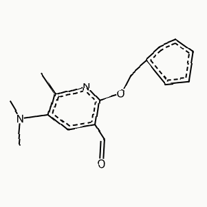 Cc1nc(OCc2ccccc2)c(C=O)cc1N(C)C